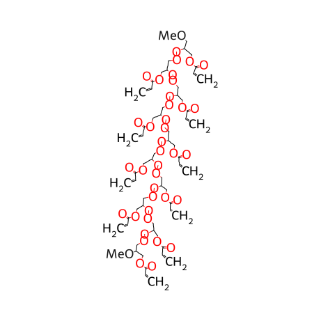 C=CC(=O)OCC(COOC(COOC(COOC(COOC(COOC(COOC(COOC(COOC(COOC(COC)COC(=O)C=C)COC(=O)C=C)COC(=O)C=C)COC(=O)C=C)COC(=O)C=C)COC(=O)C=C)COC(=O)C=C)COC(=O)C=C)COC(=O)C=C)OC